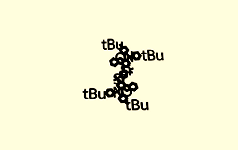 CC(C)(C)c1ccc(N(c2ccc(C(C)(C)C)cc2)c2cc3c(c4c2oc2ccccc24)-c2cc4c(cc2[Si]3(C)C)-c2c(cc(N(c3ccc(C(C)(C)C)cc3)c3ccc(C(C)(C)C)cc3)c3oc5ccccc5c23)[Si]4(C)C)cc1